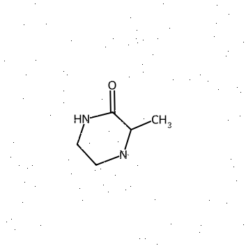 CC1[N]CCNC1=O